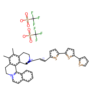 Cc1c(C)c2c(c3c1CC[n+]1ccc4ccccc4c1-3)-c1cccc(/C=C/c3ccc(-c4ccc(-c5cccs5)s4)s3)[n+]1CC2.O=S(=O)([O-])C(F)(F)F.O=S(=O)([O-])C(F)(F)F